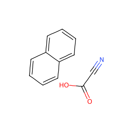 N#CC(=O)O.c1ccc2ccccc2c1